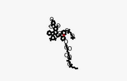 CCCCC(C)(C)OCC(C)C(C)(C)OC(=O)CCC(=O)OCCOc1ccc(C2(c3ccc(OC(C)(C)CCOC(C)(C)C)cc3)C=Cc3c4c(c5cc(-c6ccc(OC)cc6OC)c(OC)cc5c3O2)-c2ccccc2C42CC(C)(C)CC(C)(C)C2)cc1